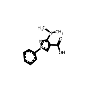 CN(C)c1nn(-c2ccccc2)cc1C(=O)O